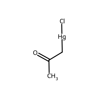 CC(=O)[CH2][Hg][Cl]